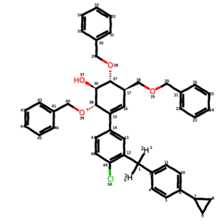 [2H]C([2H])(c1ccc(C2CC2)cc1)c1cc(C2=C[C@H](COCc3ccccc3)[C@@H](OCc3ccccc3)[C@H](O)[C@H]2OCc2ccccc2)ccc1Cl